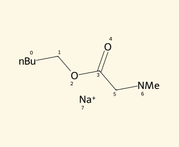 CCCCCOC(=O)C[N-]C.[Na+]